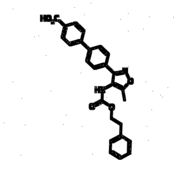 Cc1onc(-c2ccc(-c3ccc(C(=O)O)cc3)cc2)c1NC(=O)OCCc1ccccc1